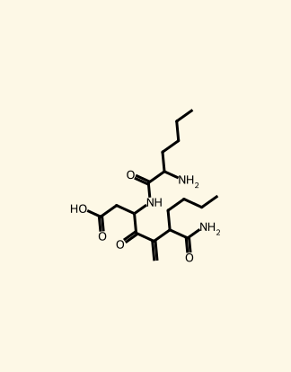 C=C(C(=O)C(CC(=O)O)NC(=O)C(N)CCCC)C(CCCC)C(N)=O